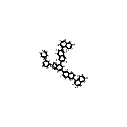 c1cc(-c2ccncc2)cc(-n2nc3cc(-c4ccc5cc(-c6cccc7ccccc67)ccc5c4)cc(-c4ccc5cc(-c6cccc7ccccc67)ccc5c4)c3n2)c1